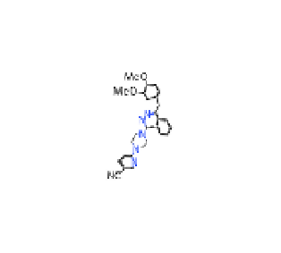 COc1ccc(Cc2nnc(N3CCN(c4ccc(C#N)cn4)CC3)c3ccccc23)cc1OC